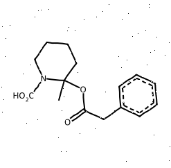 CC1(OC(=O)Cc2ccccc2)CCCCN1C(=O)O